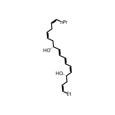 CC/C=C\C[C@H](O)\C=C/C=C/C=C/[C@H](O)C/C=C\C/C=C\CCC